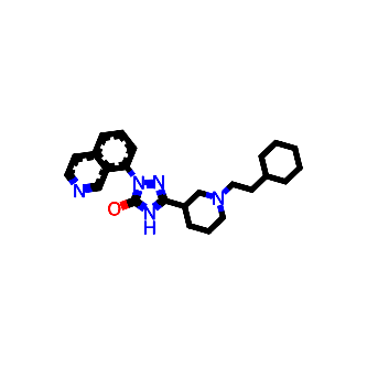 O=c1[nH]c(C2CCCN(CCC3CCCCC3)C2)nn1-c1cccc2ccncc12